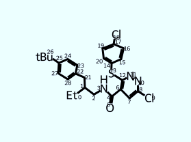 CCC(CNC(=O)c1cc(Cl)nnc1Sc1ccc(Cl)cc1)Cc1ccc(C(C)(C)C)cc1